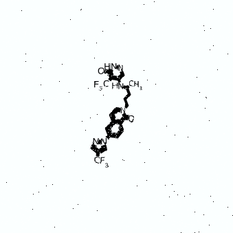 CC(CCCn1ccc2cc(-n3cc(C(F)(F)F)cn3)ccc2c1=O)Nc1cn[nH]c(=O)c1C(F)(F)F